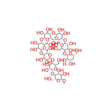 COC1O[C@H](CO)[C@@H](O[C@H]2O[C@H](CO)[C@@H](OC3O[C@H](CO)[C@H](OC4O[C@H](CO)[C@@H](OC5O[C@H](CO)[C@@H](OC6O[C@H](CO)[C@@H](OC7O[C@H](CO)[C@H](OC8O[C@H](CO)C[C@H](O)C8O)[C@H](O)[C@H]7O)[C@H](O)[C@H]6O)[C@H](O)[C@H]5O)[C@H](O)C4O)[C@H](O)[C@H]3O)[C@H](O)[C@H]2O)[C@H](O)C1O